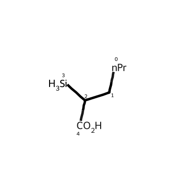 CCCCC([SiH3])C(=O)O